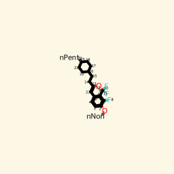 CCCCCCCCCOc1ccc2c(c1F)C(F)(F)OC(CCC1CCC(CCCCC)CC1)=C2